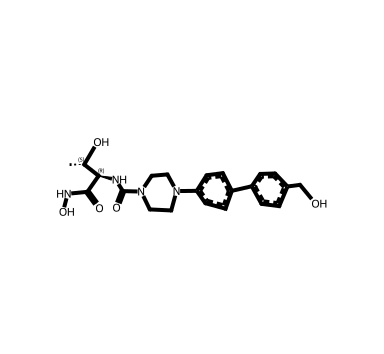 C[C@H](O)[C@@H](NC(=O)N1CCN(c2ccc(-c3ccc(CO)cc3)cc2)CC1)C(=O)NO